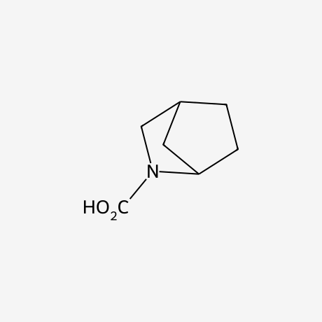 O=C(O)N1CC2CCC1C2